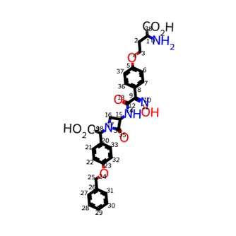 NC(CCOc1ccc(C(=NO)C(=O)NC2CN(C(C(=O)O)c3ccc(OCc4ccccc4)cc3)C2=O)cc1)C(=O)O